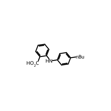 CCCCc1ccc(Nc2ccccc2C(=O)O)cc1